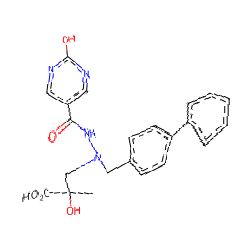 CC(O)(CN(Cc1ccc(-c2ccccc2)cc1)NC(=O)c1cnc(O)nc1)C(=O)O